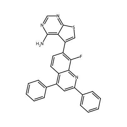 Nc1ncnc2scc(-c3ccc4c(-c5ccccc5)cc(-c5ccccc5)nc4c3F)c12